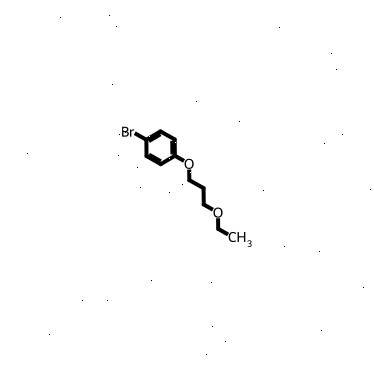 CCOCCCOc1ccc(Br)cc1